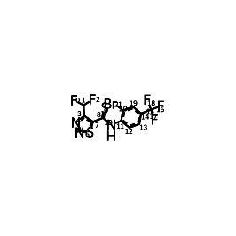 FC(F)c1nnsc1C(=S)Nc1ccc(C(F)(F)F)cc1Br